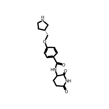 O=C1CCC(NC(=O)c2ccc(OC[C@@H]3CCNC3)cc2)C(=O)N1